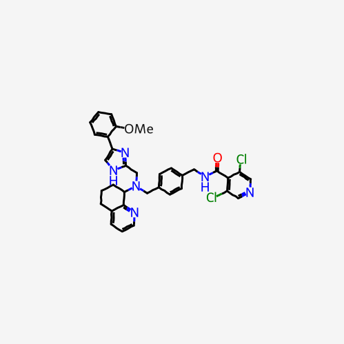 COc1ccccc1-c1c[nH]c(CN(Cc2ccc(CNC(=O)c3c(Cl)cncc3Cl)cc2)C2CCCc3cccnc32)n1